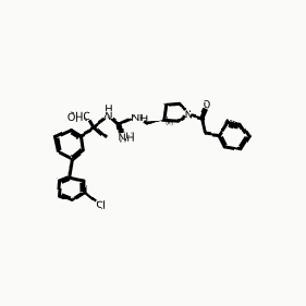 CC(C=O)(NC(=N)NC[C@H]1CCN(C(=O)Cc2ccccc2)C1)c1cccc(-c2cccc(Cl)c2)c1